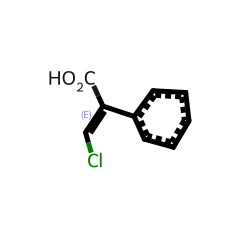 O=C(O)/C(=C/Cl)c1ccccc1